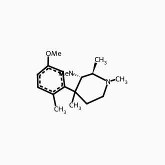 CN[C@@H]1[C@@H](C)N(C)CCC1(C)c1cc(OC)ccc1C